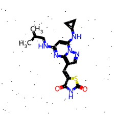 CC(C)CNc1cc(NC2CC2)n2ncc(/C=C3\SC(=O)NC3=O)c2n1